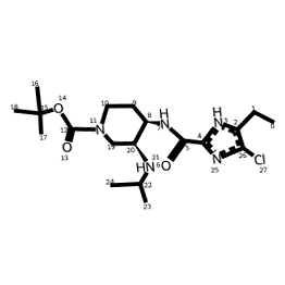 CCc1[nH]c(C(=O)N[C@@H]2CCN(C(=O)OC(C)(C)C)C[C@@H]2NC(C)C)nc1Cl